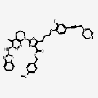 COc1ccc(COC(=O)c2nc(N3CCCc4c3nnc(Nc3nc5ccccc5s3)c4C)sc2CCCOc2ccc(C#CCN3CCNCC3)cc2F)cc1